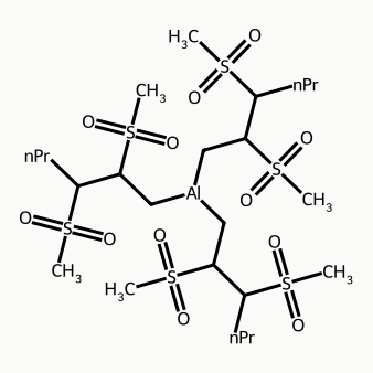 CCCC(C([CH2][Al]([CH2]C(C(CCC)S(C)(=O)=O)S(C)(=O)=O)[CH2]C(C(CCC)S(C)(=O)=O)S(C)(=O)=O)S(C)(=O)=O)S(C)(=O)=O